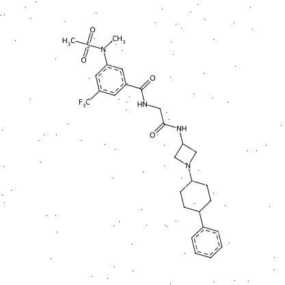 CN(c1cc(C(=O)NCC(=O)NC2CN(C3CCC(c4ccccc4)CC3)C2)cc(C(F)(F)F)c1)S(C)(=O)=O